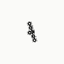 c1ccc(-[n+]2ccc(-c3nnc(-c4cc[n+](-c5ccccc5)cc4)c4ccccc34)cc2)cc1